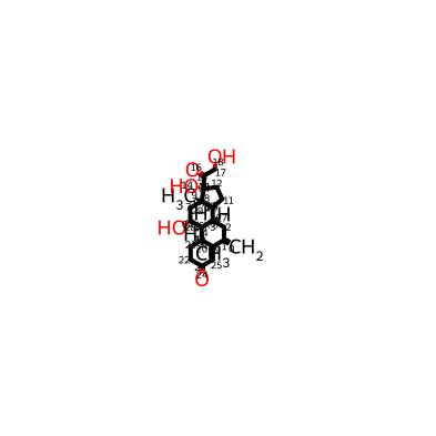 C=C1C[C@@H]2[C@H]([C@@H](O)C[C@@]3(C)[C@H]2CC[C@]3(O)C(=O)CO)[C@@]2(C)CCC(=O)C=C12